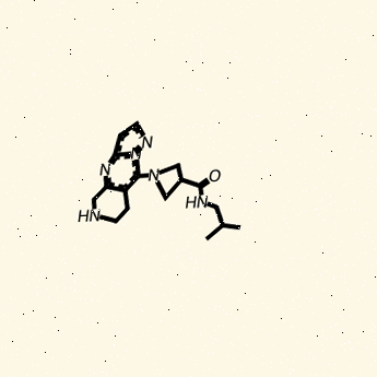 CC(C)CNC(=O)C1CN(c2c3c(nc4ccnn24)CNCC3)C1